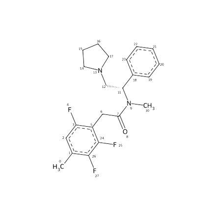 Cc1cc(F)c(CC(=O)N(C)[C@H](CN2CCCC2)c2ccccc2)c(F)c1F